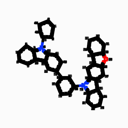 c1ccc(-n2c3ccccc3c3cc(-c4cccc(-n5c6ccccc6c6cc7oc8ccccc8c7cc65)c4)ccc32)cc1